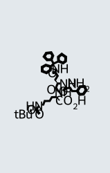 CC(C)(C)OC(=O)NCCCC[C@@H](NC(=O)[C@@H](CCC(=O)NC(c1ccccc1)(c1ccccc1)c1ccccc1)NC(=O)[C@H](N)Cc1ccccc1)C(=O)O